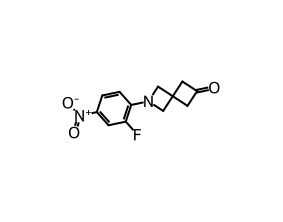 O=C1CC2(C1)CN(c1ccc([N+](=O)[O-])cc1F)C2